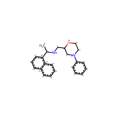 CC(NCC1CN(c2ccccc2)CCO1)c1cccc2ccccc12